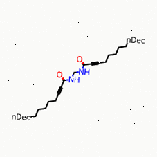 CCCCCCCCCCCCCCCC#CC(=O)NCNC(=O)C#CCCCCCCCCCCCCCCC